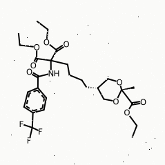 CCOC(=O)C(CCCC[C@H]1CO[C@@](C)(C(=O)OCC)OC1)(NC(=O)c1ccc(C(F)(F)F)cc1)C(=O)OCC